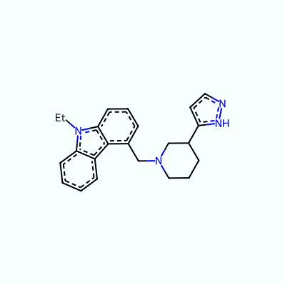 CCn1c2ccccc2c2c(CN3CCCC(c4ccn[nH]4)C3)cccc21